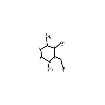 CC(C)CC1C(C)CCC(C)C1O